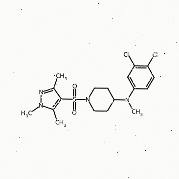 Cc1nn(C)c(C)c1S(=O)(=O)N1CCC(N(C)c2ccc(Cl)c(Cl)c2)CC1